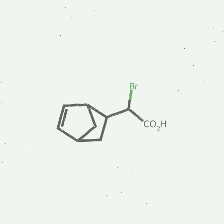 O=C(O)C(Br)C1CC2C=CC1C2